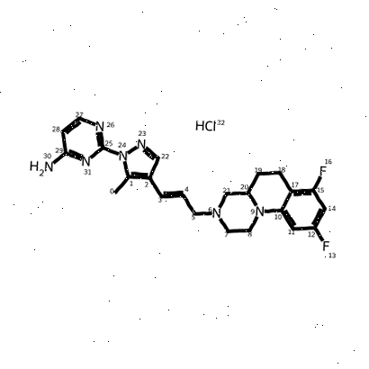 Cc1c(/C=C/CN2CCN3c4cc(F)cc(F)c4CCC3C2)cnn1-c1nccc(N)n1.Cl